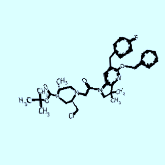 C[C@@H]1CN(CC(=O)N2CC(C)(C)c3nc(OCc4ccccc4)c(Cc4ccc(F)cc4)cc32)[C@@H](CCl)CN1C(=O)OC(C)(C)C